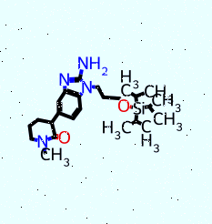 CC(C)[Si](OCCCn1c(N)nc2cc(C3CCCN(C)C3=O)ccc21)(C(C)C)C(C)C